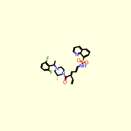 C=C/C(=C\C=C\NS(=O)(=O)c1cccc2cccnc12)C(=O)N1CCN(C(C)c2c(F)cccc2F)C[C@H]1C